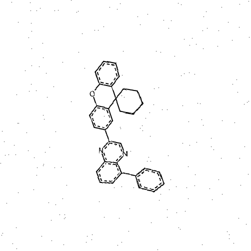 c1ccc(-c2cccc3nc(-c4ccc5c(c4)C4(CCCCC4)c4ccccc4O5)cnc23)cc1